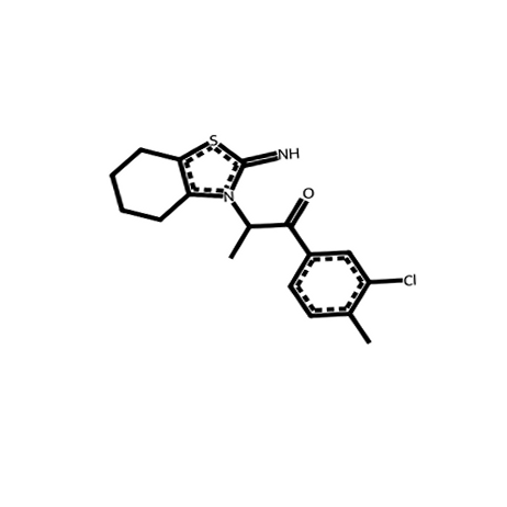 Cc1ccc(C(=O)C(C)n2c3c(sc2=N)CCCC3)cc1Cl